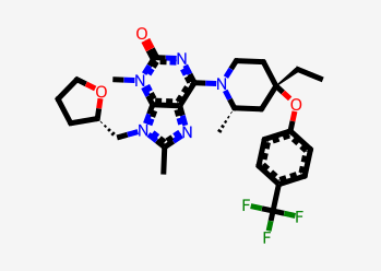 CC[C@]1(Oc2ccc(C(F)(F)F)cc2)CCN(c2nc(=O)n(C)c3c2nc(C)n3C[C@@H]2CCCO2)[C@@H](C)C1